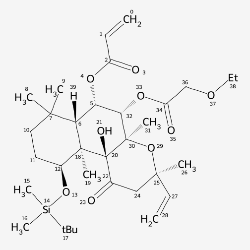 C=CC(=O)O[C@H]1[C@H]2C(C)(C)CC[C@H](O[Si](C)(C)C(C)(C)C)[C@]2(C)[C@@]2(O)C(=O)C[C@](C)(C=C)O[C@]2(C)[C@H]1OC(=O)COCC